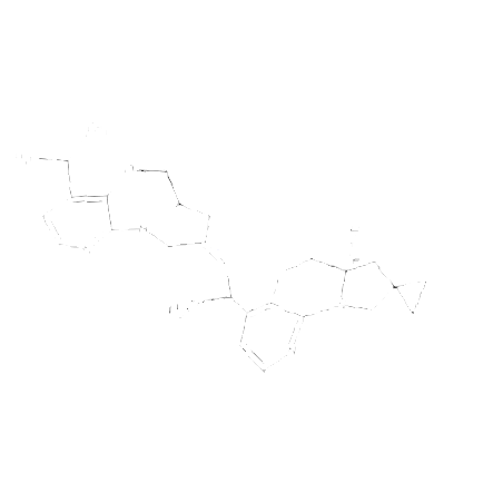 CC(C)c1ccnc2c1OCC1C/C(=C/C(C)c3ccnc4c3OC[C@H]3CC5(CC5)CN43)CN21